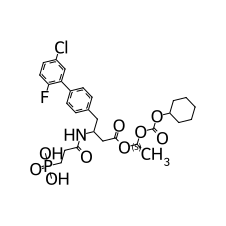 C[C@@H](OC(=O)CC(Cc1ccc(-c2cc(Cl)ccc2F)cc1)NC(=O)CCP(=O)(O)O)OC(=O)OC1CCCCC1